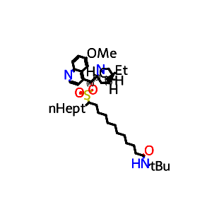 CCCCCCCC(CCCCCCCCCCC(=O)NC(C)(C)C)S(=O)O[C@H](c1ccnc2ccc(OC)cc12)[C@@H]1C[C@@H]2CCN1C[C@@H]2CC